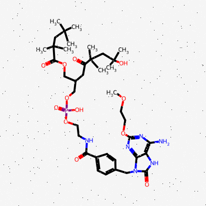 COCCOc1nc(N)c2[nH]c(=O)n(Cc3ccc(C(=O)NCCOP(=O)(O)OCC(COC(=O)C(C)(C)CC(C)(C)C)CC(=O)C(C)(C)CC(C)(C)O)cc3)c2n1